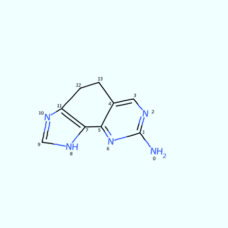 Nc1ncc2c(n1)-c1[nH]cnc1CC2